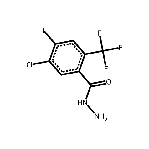 NNC(=O)c1cc(Cl)c(I)cc1C(F)(F)F